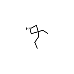 CCCC1(CC)CNC1